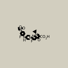 O=C(O)c1cn(C2CC2)c2nc(N3CCC(Nc4ccc(N5CCOC5=O)cc4F)CC3)c(F)cc2c1=O